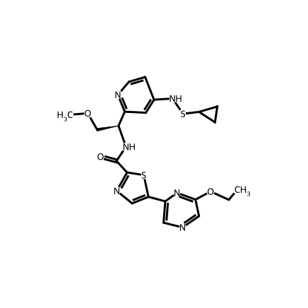 CCOc1cncc(-c2cnc(C(=O)N[C@@H](COC)c3cc(NSC4CC4)ccn3)s2)n1